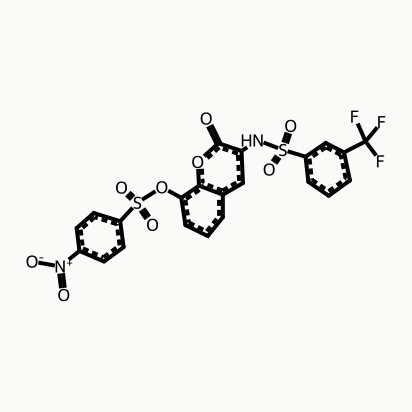 O=c1oc2c(OS(=O)(=O)c3ccc([N+](=O)[O-])cc3)cccc2cc1NS(=O)(=O)c1cccc(C(F)(F)F)c1